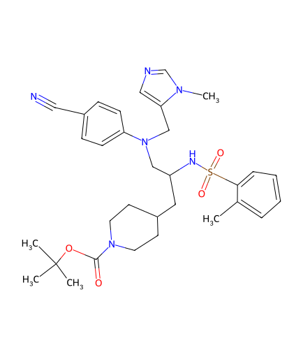 Cc1ccccc1S(=O)(=O)NC(CC1CCN(C(=O)OC(C)(C)C)CC1)CN(Cc1cncn1C)c1ccc(C#N)cc1